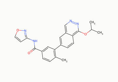 Cc1ccc(C(=O)Nc2ccon2)cc1-c1ccc2c(OC(C)C)nncc2c1